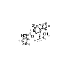 CC(C)c1nn(CC(=O)NC2C[C@@H]3CN[C@H]2C3)c(=O)c2cc3ccsc3n12.Cl